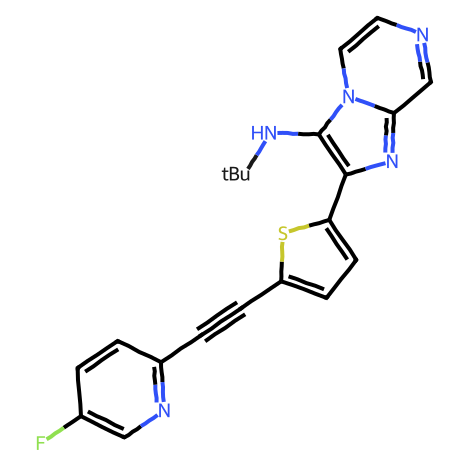 CC(C)(C)Nc1c(-c2ccc(C#Cc3ccc(F)cn3)s2)nc2cnccn12